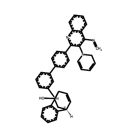 C=Nc1c(N2C=CC=CC2)c(-c2ccc(-c3cccc([PH]4(O)c5ccccc5[C@@H]5C=CC4CC5)c3)cc2)nc2ccccc12